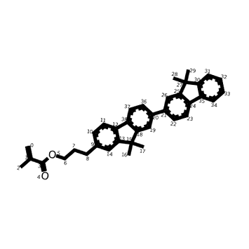 C=C(C)C(=O)OCCCc1ccc2c(c1)C(C)(C)c1cc(-c3ccc4c(c3)C(C)(C)c3ccccc3-4)ccc1-2